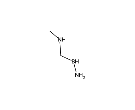 CNCBN